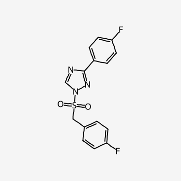 O=S(=O)(Cc1ccc(F)cc1)n1cnc(-c2ccc(F)cc2)n1